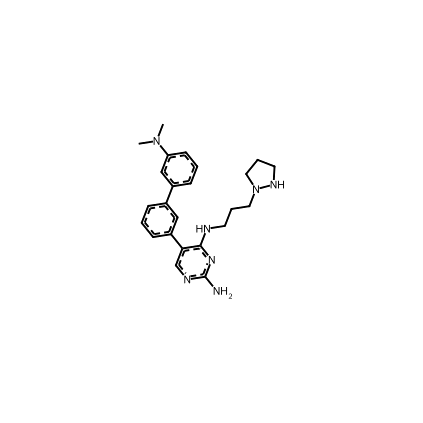 CN(C)c1cccc(-c2cccc(-c3cnc(N)nc3NCCCN3CCCN3)c2)c1